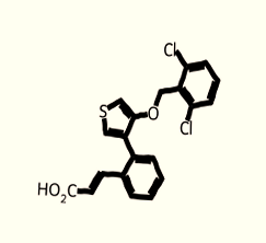 O=C(O)C=Cc1ccccc1-c1cscc1OCc1c(Cl)cccc1Cl